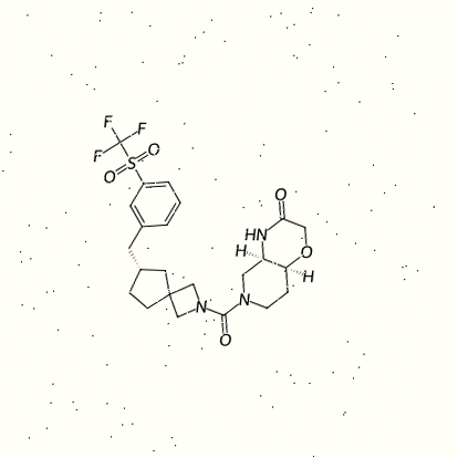 O=C1CO[C@H]2CCN(C(=O)N3CC4(CC[C@H](Cc5cccc(S(=O)(=O)C(F)(F)F)c5)C4)C3)C[C@H]2N1